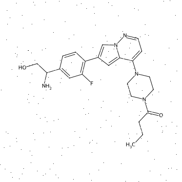 CCCC(=O)N1CCN(c2ccnn3cc(-c4ccc(C(N)CO)cc4F)cc23)CC1